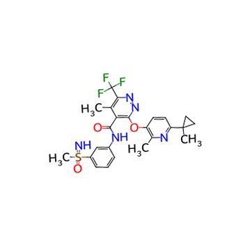 Cc1nc(C2(C)CC2)ccc1Oc1nnc(C(F)(F)F)c(C)c1C(=O)Nc1cccc(S(C)(=N)=O)c1